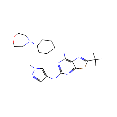 [2H]C([2H])([2H])c1nc2c(N[C@H]3CC[C@H](N4CCOCC4)CC3)nc(Nc3cnn(C)c3)nc2s1